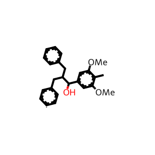 COc1cc(C(O)C(Cc2cc[c]cc2)Cc2ccccc2)cc(OC)c1C